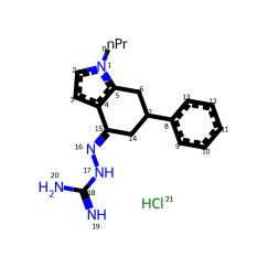 CCCn1ccc2c1CC(c1ccccc1)CC2=NNC(=N)N.Cl